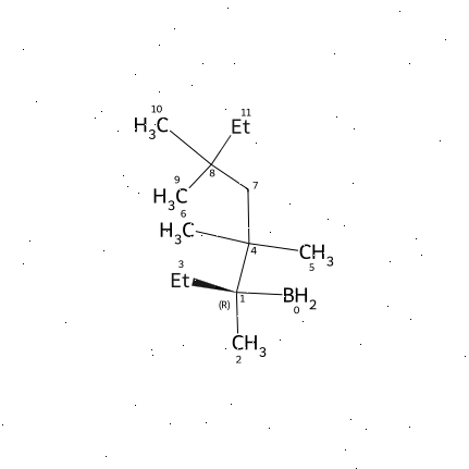 B[C@@](C)(CC)C(C)(C)CC(C)(C)CC